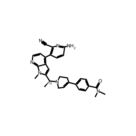 C[C@@H](c1cc2c(-c3ccc(N)nc3C#N)ccnc2n1C)N1CC=C(c2ccc(C(=O)N(C)C)cc2)CC1